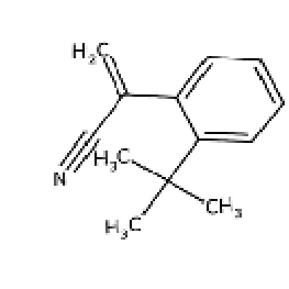 C=C(C#N)c1ccccc1C(C)(C)C